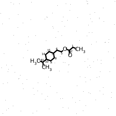 CCC(=O)OCCC1CCC(C(C)C)CC1